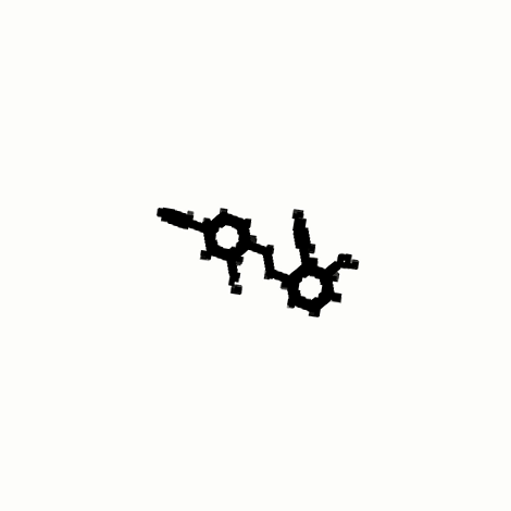 N#Cc1ccc(C[CH]c2cccc(Cl)c2C#N)c(F)c1